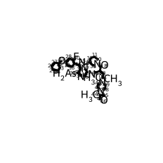 CC(C)(C=C(C#N)C(=O)N1CCC[C@@H](c2nc(-c3ccc(Oc4ccccc4)cc3F)c3c([AsH2])nccn23)C1)N1CCN(C2(C)COC2)CC1